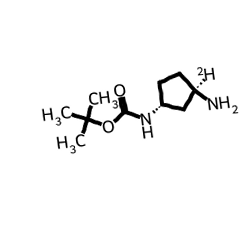 [2H][C@@]1(N)CC[C@@H](NC(=O)OC(C)(C)C)C1